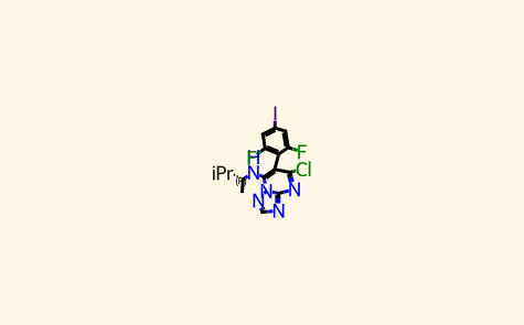 CC(C)[C@@H](C)Nc1c(-c2c(F)cc(I)cc2F)c(Cl)nc2ncnn12